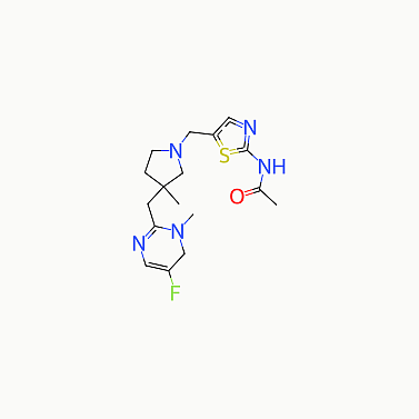 CC(=O)Nc1ncc(CN2CCC(C)(CC3=NC=C(F)CN3C)C2)s1